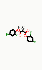 CC(C(=O)Oc1ccc(F)cc1F)C(=O)Oc1ccc(F)cc1F